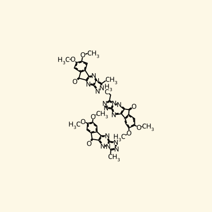 CCc1nnc2nc3c(nn12)C(=O)c1cc(OC)c(OC)cc1-3.COc1cc2c(cc1OC)-c1nc3nnc(C)n3nc1C2=O.COc1cc2c(cc1OC)-c1nn3c(C)nnc3nc1C2=O